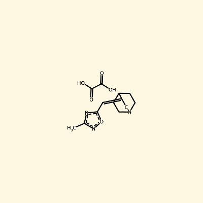 Cc1noc(/C=C2\CN3CCC2CC3)n1.O=C(O)C(=O)O